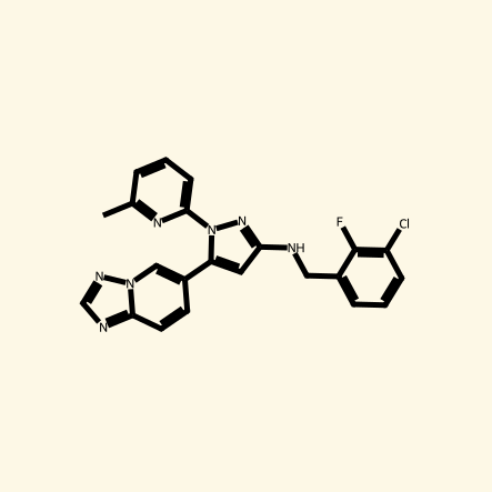 Cc1cccc(-n2nc(NCc3cccc(Cl)c3F)cc2-c2ccc3ncnn3c2)n1